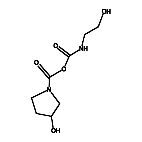 O=C(NCCO)OC(=O)N1CCC(O)C1